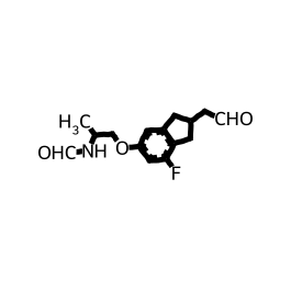 CC(COc1cc(F)c2c(c1)CC(CC=O)C2)NC=O